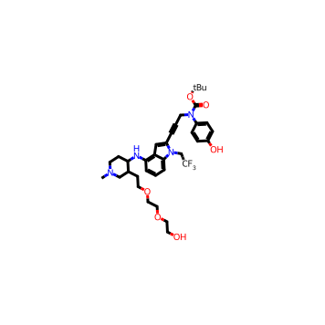 CN1CCC(Nc2cccc3c2cc(C#CCN(C(=O)OC(C)(C)C)c2ccc(O)cc2)n3CC(F)(F)F)C(CCOCCOCCO)C1